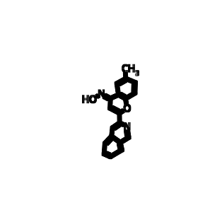 Cc1ccc2oc(-c3cc4ccccc4cn3)cc(=NO)c2c1